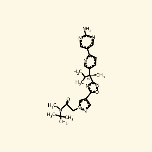 CC(C)[C@](C)(c1ccc(-c2cnc(N)nc2)nc1)c1noc(-c2cnn(CC(=O)N(C)C(C)(C)C)c2)n1